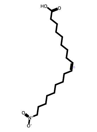 O=C(O)CCCCCCC/C=C\CCCCCCCC[N+](=O)[O-]